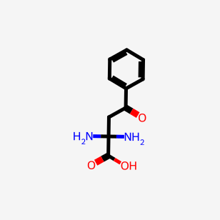 NC(N)(CC(=O)c1ccccc1)C(=O)O